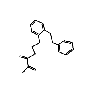 C=C(C)C(=O)OCCc1ccccc1CCc1ccccc1